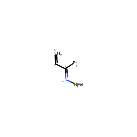 C=C/C(CC)=N/NC